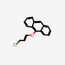 ClCC=COc1c2ccccc2cc2ccccc12